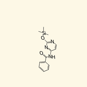 C[Si](C)(C)Oc1nccc(NC(=O)c2ccccc2)n1